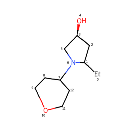 CCC1C[C@H](O)CN1C1CCOCC1